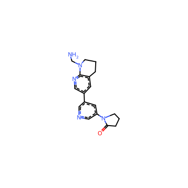 NCN1CCCc2cc(-c3cncc(N4CCCC4=O)c3)cnc21